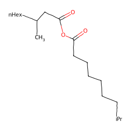 CCCCCCC(C)CC(=O)OC(=O)CCCCCCC(C)C